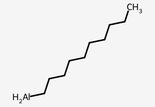 CCCCCCCCC[CH2][AlH2]